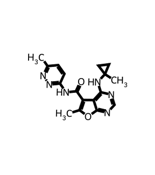 Cc1ccc(NC(=O)c2c(C)oc3ncnc(NC4(C)CC4)c23)nn1